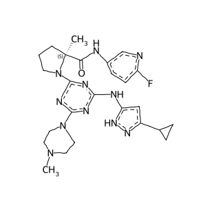 CN1CCN(c2nc(Nc3cc(C4CC4)n[nH]3)nc(N3CCC[C@@]3(C)C(=O)Nc3ccc(F)nc3)n2)CC1